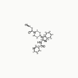 N#CCC(=O)N1CCC(n2c(NC(=O)c3cccnc3)nc3ccccc32)CC1